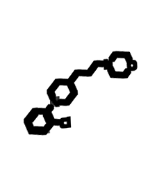 Clc1[c]cccc1N1CCC(CCCN2CCOCC2)CC1